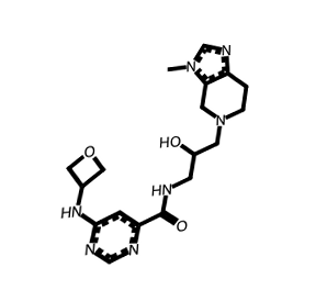 Cn1cnc2c1CN(CC(O)CNC(=O)c1cc(NC3COC3)ncn1)CC2